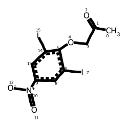 CC(=O)COc1c(I)cc([N+](=O)[O-])cc1I